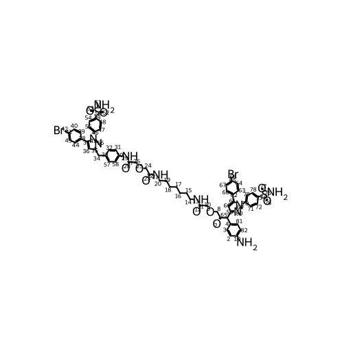 Nc1ccc(C(C(=O)COCC(=O)NCCCCCCCNC(=O)COCC(=O)Nc2ccc(Cc3cc(-c4ccc(Br)cc4)n(-c4ccc(S(N)(=O)=O)cc4)n3)cc2)c2cc(-c3ccc(Br)cc3)n(-c3ccc(S(N)(=O)=O)cc3)n2)cc1